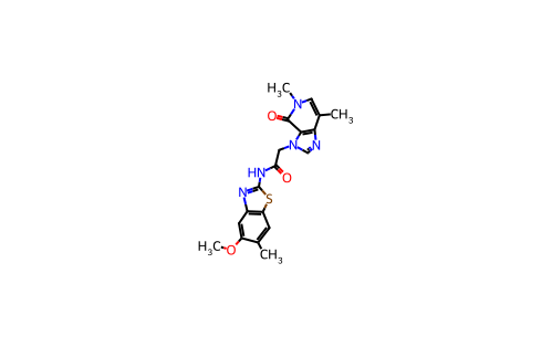 COc1cc2nc(NC(=O)Cn3cnc4c(C)cn(C)c(=O)c43)sc2cc1C